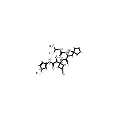 CC(C)NC(=O)NC(CC1(F)CCCC1)C(=O)NC1(C(=O)C(=O)Nc2ccn(C)n2)CC(F)C1